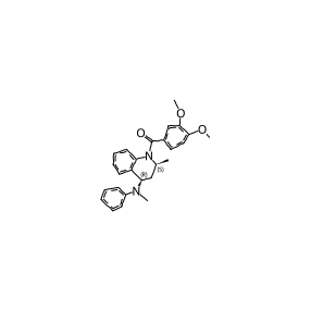 COc1ccc(C(=O)N2c3ccccc3[C@H](N(C)c3ccccc3)C[C@@H]2C)cc1OC